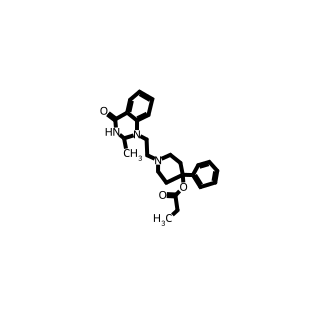 CCC(=O)OC1(c2ccccc2)CCN(CCN2c3ccccc3C(=O)NC2C)CC1